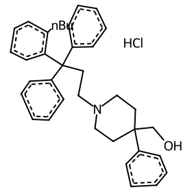 CCCCc1ccccc1C(CCN1CCC(CO)(c2ccccc2)CC1)(c1ccccc1)c1ccccc1.Cl